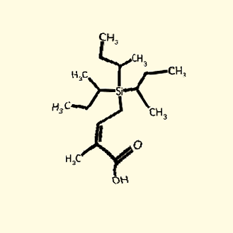 CCC(C)[Si](CC=C(C)C(=O)O)(C(C)CC)C(C)CC